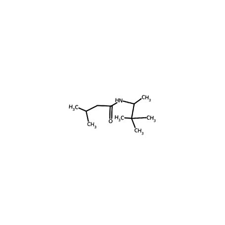 CC(C)CC(=O)NC(C)C(C)(C)C